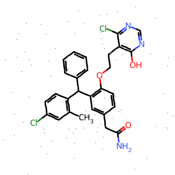 Cc1cc(Cl)ccc1C(c1ccccc1)c1cc(CC(N)=O)ccc1OCCc1c(O)ncnc1Cl